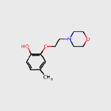 Cc1ccc(O)c(OCCN2CCOCC2)c1